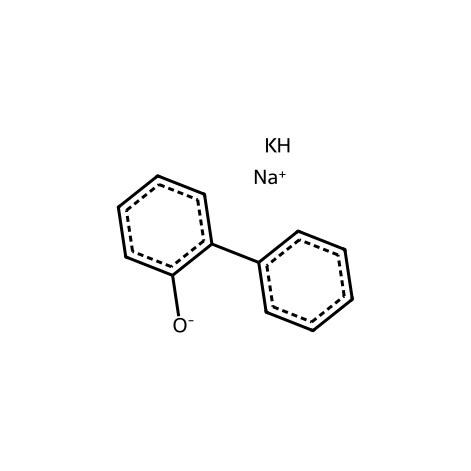 [KH].[Na+].[O-]c1ccccc1-c1ccccc1